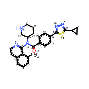 Cc1cccc2ccnc(N(C(=O)c3ccc(-c4nnc(C5CC5)s4)cc3)[C@@H]3CCCNC3)c12